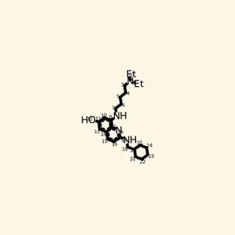 CCN(CC)CCCCCNc1cc(O)cc2ccc(NCC3CCCCC3)nc12